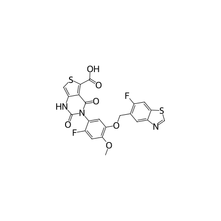 COc1cc(F)c(-n2c(=O)[nH]c3csc(C(=O)O)c3c2=O)cc1OCc1cc2ncsc2cc1F